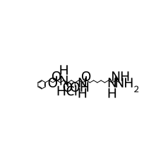 Cl.N=C(N)NCCCCCCC(=O)NCC(O)CC(=O)NCC(=O)OCc1ccccc1